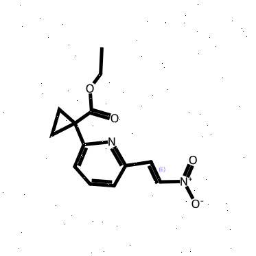 CCOC(=O)C1(c2cccc(/C=C/[N+](=O)[O-])n2)CC1